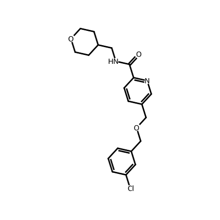 O=C(NCC1CCOCC1)c1ccc(COCc2cccc(Cl)c2)cn1